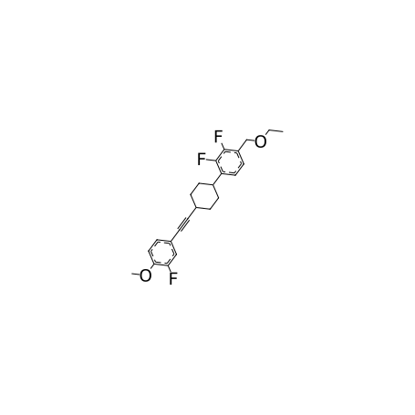 CCOCc1ccc(C2CCC(C#Cc3ccc(OC)c(F)c3)CC2)c(F)c1F